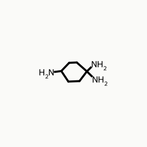 NC1CCC(N)(N)CC1